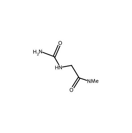 CNC(=O)CNC(N)=O